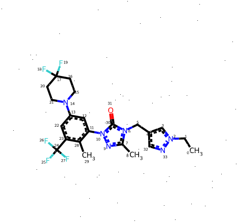 CCn1cc(Cn2c(C)nn(-c3cc(N4CCC(F)(F)CC4)cc(C(F)(F)F)c3C)c2=O)cn1